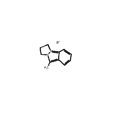 Cc1c2ccccc2[n+]2n1CCC2.[Br-]